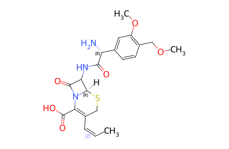 C/C=C\C1=C(C(=O)O)N2C(=O)C(NC(=O)[C@H](N)c3ccc(COC)c(OC)c3)[C@H]2SC1